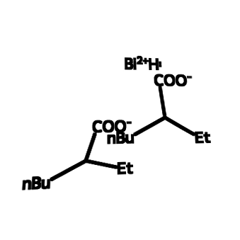 CCCCC(CC)C(=O)[O-].CCCCC(CC)C(=O)[O-].[BiH+2]